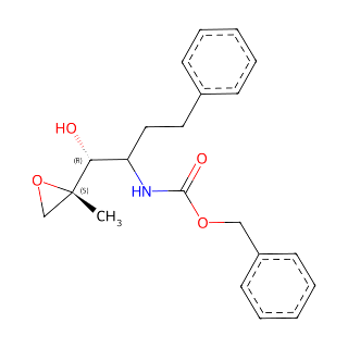 C[C@@]1([C@H](O)C(CCc2ccccc2)NC(=O)OCc2ccccc2)CO1